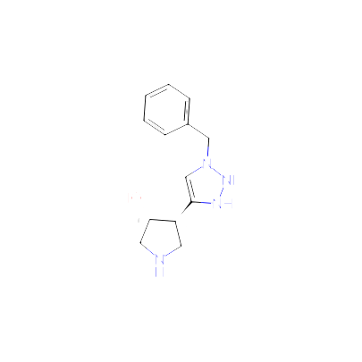 O[C@H]1CNC[C@@H]1C1=CN(Cc2ccccc2)NN1